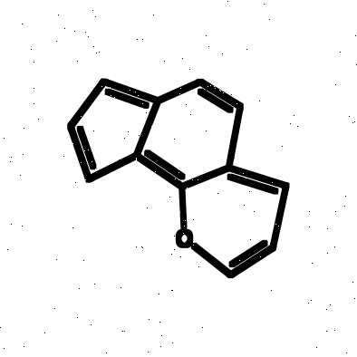 c1coc2c(c1)ccc1cccc12